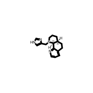 c1cnc2c(c1)CC[C@@H]1CCCN(Cc3c[nH]cn3)[C@H]21